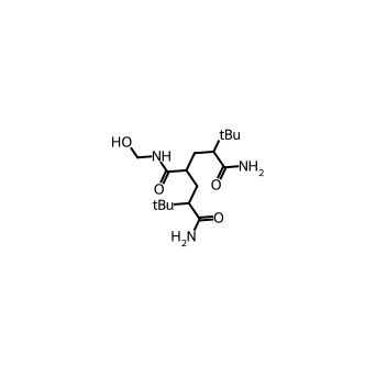 CC(C)(C)C(CC(CC(C(N)=O)C(C)(C)C)C(=O)NCO)C(N)=O